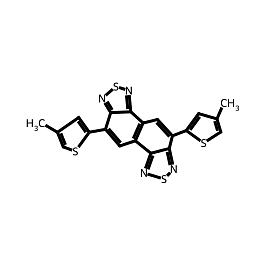 Cc1csc(-c2cc3c(cc(-c4cc(C)cs4)c4nsnc43)c3nsnc23)c1